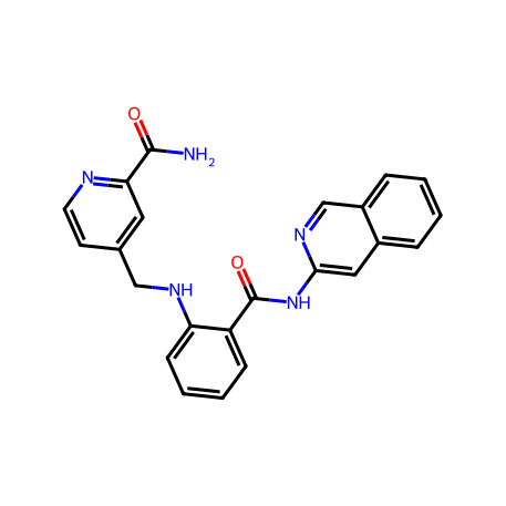 NC(=O)c1cc(CNc2ccccc2C(=O)Nc2cc3ccccc3cn2)ccn1